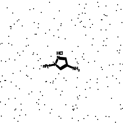 CCCn1cc(N)cn1.Cl